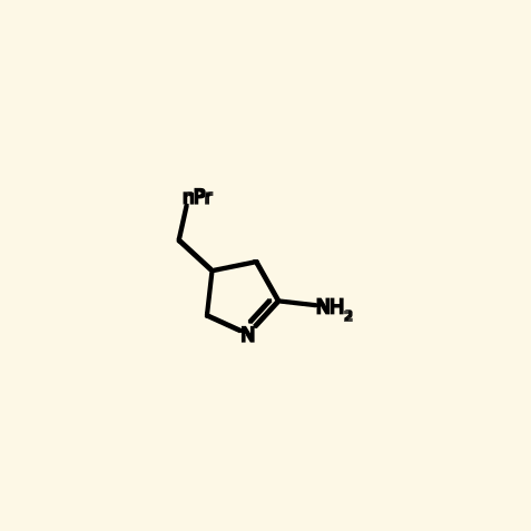 CCCCC1CN=C(N)C1